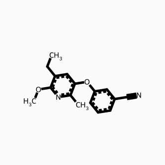 CCc1cc(Oc2cccc(C#N)c2)c(C)nc1OC